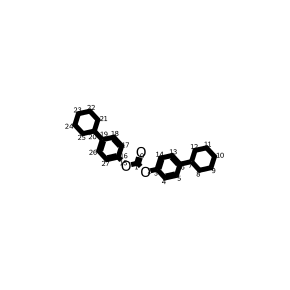 O=C(Oc1ccc(C2CCCCC2)cc1)Oc1ccc(C2CCCCC2)cc1